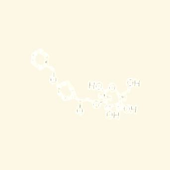 O=C(CO[C@@H]1[C@@H](O)[C@@H](O)[C@@H](CO)O[C@@H]1O)c1ccc(OCc2ccccc2)cc1